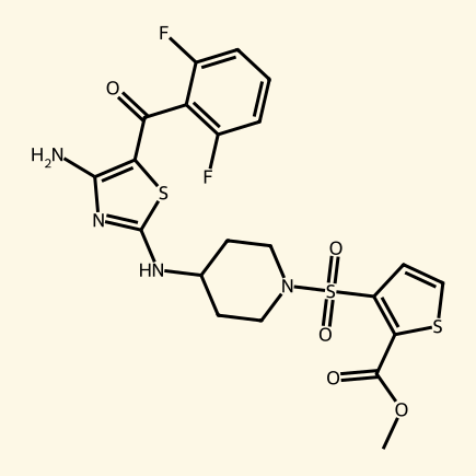 COC(=O)c1sccc1S(=O)(=O)N1CCC(Nc2nc(N)c(C(=O)c3c(F)cccc3F)s2)CC1